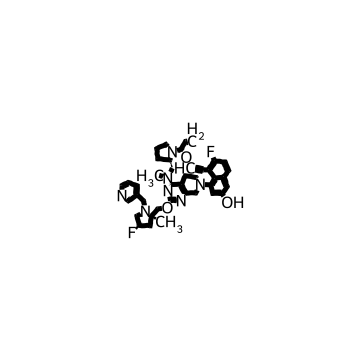 C#Cc1c(F)ccc2cc(O)cc(N3CCc4c(nc(OC[C@]5(C)C[C@@H](F)CN5Cc5cccnc5)nc4N(C)C[C@@H]4CCCN4C(=O)C=C)C3)c12